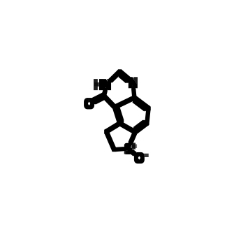 O=c1[nH]cnc2ccc3c(c12)CC[S+]3[O-]